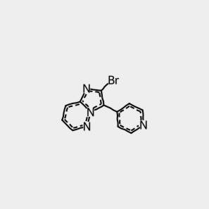 Brc1nc2cccnn2c1-c1ccncc1